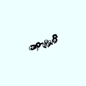 O=C1N(Cc2ccc(N3C4CCC3COC4)c(F)c2)CCN1CC(O)CN1CCc2ccccc2C1